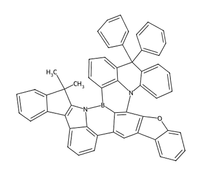 CC1(C)c2ccccc2-c2c1n1c3c(cccc23)-c2cc3c(oc4ccccc43)c3c2B1c1cccc2c1N3c1ccccc1C2(c1ccccc1)c1ccccc1